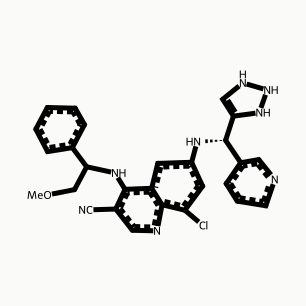 COCC(Nc1c(C#N)cnc2c(Cl)cc(N[C@H](C3=CNNN3)c3cccnc3)cc12)c1ccccc1